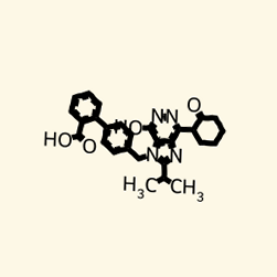 CC(C)c1nc2c(C3CCCCC3=O)nnc(O)c2n1Cc1ccc(-c2ccccc2C(=O)O)cc1